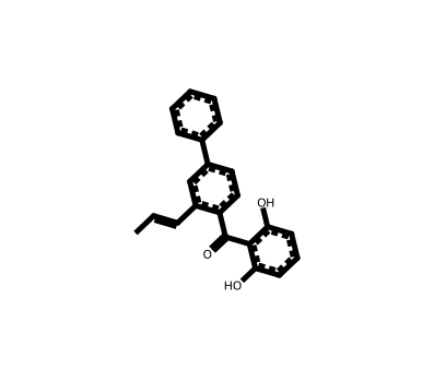 CC=Cc1cc(-c2ccccc2)ccc1C(=O)c1c(O)cccc1O